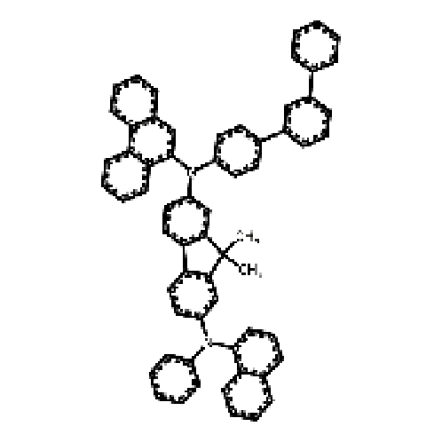 CC1(C)c2cc(N(c3ccccc3)c3cccc4ccccc34)ccc2-c2ccc(N(c3ccc(-c4cccc(-c5ccccc5)c4)cc3)c3cc4ccccc4c4ccccc34)cc21